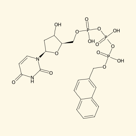 O=c1ccn([C@H]2CC(O)[C@@H](COP(=O)(O)OP(=O)(O)OP(=O)(O)OCc3ccc4ccccc4c3)O2)c(=O)[nH]1